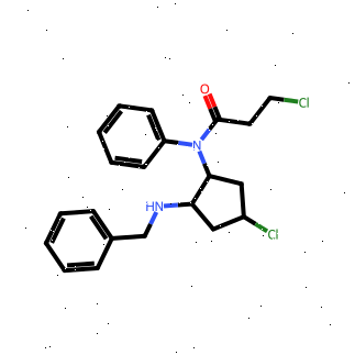 O=C(CCCl)N(c1ccccc1)C1CC(Cl)CC1NCc1ccccc1